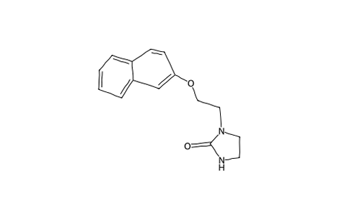 O=C1NCCN1CCOc1ccc2ccccc2c1